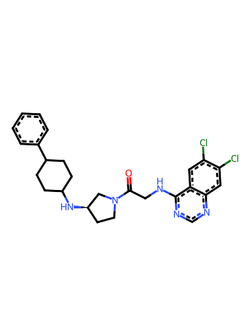 O=C(CNc1ncnc2cc(Cl)c(Cl)cc12)N1CC[C@@H](NC2CCC(c3ccccc3)CC2)C1